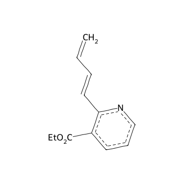 C=C/C=C/c1ncccc1C(=O)OCC